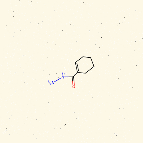 NNC(=O)C1=CCCCC1